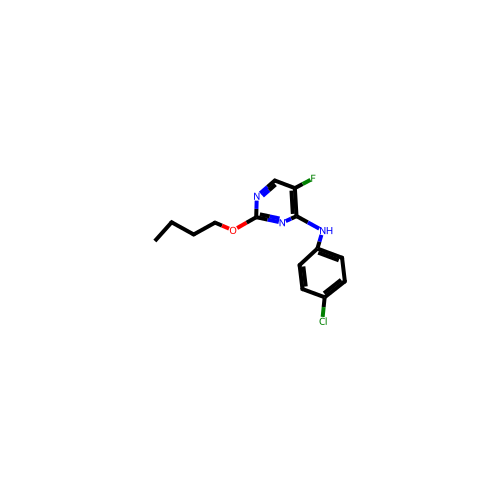 CCCCOc1ncc(F)c(Nc2ccc(Cl)cc2)n1